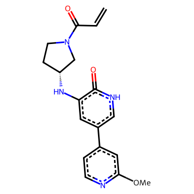 C=CC(=O)N1CC[C@@H](Nc2cc(-c3ccnc(OC)c3)c[nH]c2=O)C1